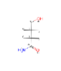 CC(C)(CO)C(C)(C)C(N)=O